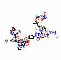 CC[C@H](C)[C@@H]([C@@H](CC(=O)N1CCC[C@H]1[C@H](OC)[C@@H](C)C(=O)NS(=O)(=O)c1ccc(NC(=O)[C@H](CCCNC(N)=O)NC(=O)C(NC(=O)CC(C)(C)COCC(C)(C)CN2C(=O)C=CC2=O)C(C)C)cc1)OC)N(C)C(=O)[C@@H](NC(=O)C(C(C)C)N(C)C)C(C)C